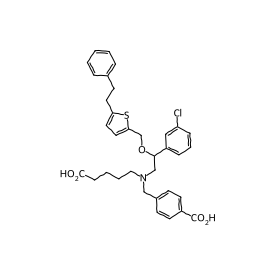 O=C(O)CCCCN(Cc1ccc(C(=O)O)cc1)CC(OCc1ccc(CCc2ccccc2)s1)c1cccc(Cl)c1